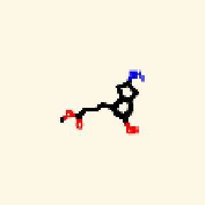 COC(=O)CCCc1cc(O)cc2c1CC(N)C2